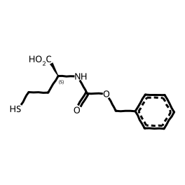 O=C(N[C@@H](CCS)C(=O)O)OCc1ccccc1